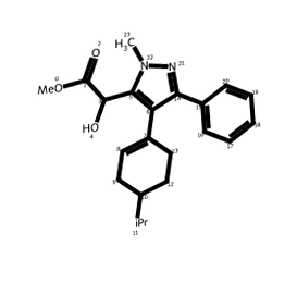 COC(=O)C(O)c1c(C2=CCC(C(C)C)CC2)c(-c2ccccc2)nn1C